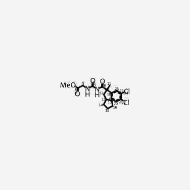 COC(=O)CNC(=O)NC(=O)C(C)(CC1CCCC1)c1ccc(Cl)c(Cl)c1